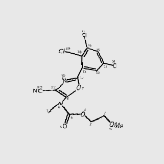 COCCOC(=O)N(C)c1oc(-c2cc(Cl)cc(Cl)c2Cl)nc1C#N